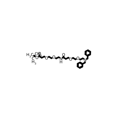 CC(C)(C)OC(=O)CCOCCOCCNC(=O)CCOCCOCCN(Cc1ccccc1)Cc1ccccc1